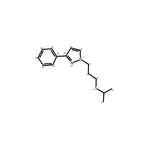 CC(C)SCCCn1ccc(-c2ccccc2)n1